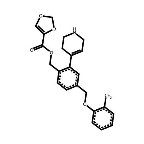 O=C(OCc1ccc(COc2ccccc2C(F)(F)F)cc1C1=CCNCC1)C1=COCO1